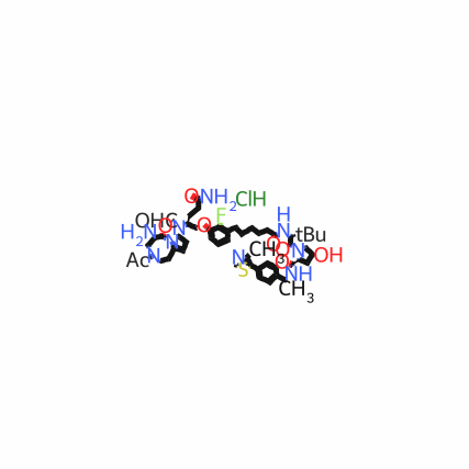 CC(=O)N1CCC2=CC[C@@H](N(C=O)[C@@H](CCC(N)=O)COc3cccc(CCCCCC(=O)N[C@H](C(=O)N4C[C@H](O)C[C@H]4C(=O)N[C@@H](C)c4ccc(-c5scnc5C)cc4)C(C)(C)C)c3F)N2C(=O)[C@@H](N)C1.Cl